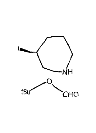 CC(C)(C)OC=O.I[C@H]1CCCNC1